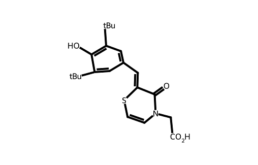 CC(C)(C)c1cc(C=C2SC=CN(CC(=O)O)C2=O)cc(C(C)(C)C)c1O